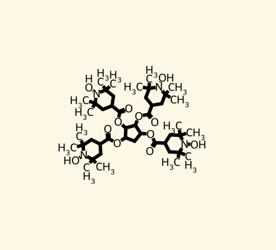 CC1(C)CC(C(=O)OC2CC(OC(=O)C3CC(C)(C)N(O)C(C)(C)C3)C(OC(=O)C3CC(C)(C)N(O)C(C)(C)C3)C2OC(=O)C2CC(C)(C)N(O)C(C)(C)C2)CC(C)(C)N1O